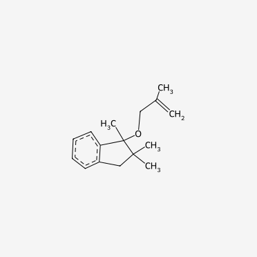 C=C(C)COC1(C)c2ccccc2CC1(C)C